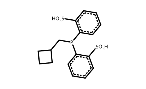 O=S(=O)(O)c1ccccc1P(CC1CCC1)c1ccccc1S(=O)(=O)O